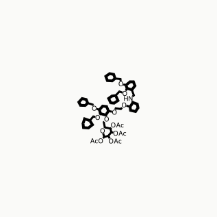 CC(=O)OC1OC(COc2c(OCCOc3ccccc3NCc3cccc(OCc4ccccc4)c3OCc3ccccc3)ccc(OCc3ccccc3)c2OCc2ccccc2)C(OC(C)=O)C(OC(C)=O)C1OC(C)=O